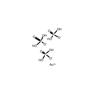 O=P([O-])(O)O.O=P([O-])(O)O.O=P([O-])(O)O.[Au+3]